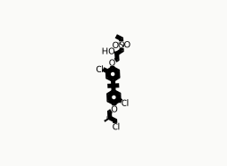 CCS(=O)(=O)C[C@H](O)COc1ccc(C(C)(C)c2ccc(OC[C@H](C)CCl)c(Cl)c2)cc1Cl